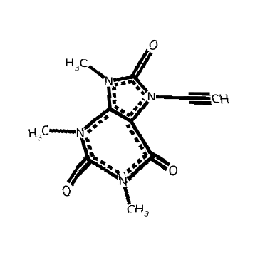 C#Cn1c(=O)n(C)c2c1c(=O)n(C)c(=O)n2C